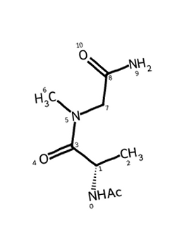 CC(=O)N[C@@H](C)C(=O)N(C)CC(N)=O